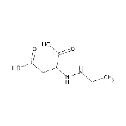 CCNNC(CC(=O)O)C(=O)O